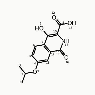 CC(C)Oc1ccc2c(O)c(C(=O)O)[nH]c(=O)c2c1